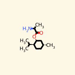 CC(N)C(=O)O[C@@H]1C[C@H](C)CC[C@H]1C(C)C